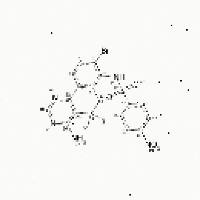 CC1(C)Cc2c(ccc(Br)c2NS(=O)(=O)c2ccc([N+](=O)[O-])cc2)-c2ncnc(N)c21